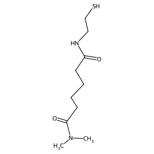 CN(C)C(=O)CCCCC(=O)NCCS